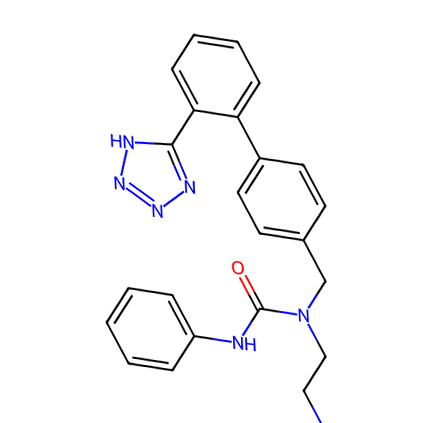 NCCN(Cc1ccc(-c2ccccc2-c2nnn[nH]2)cc1)C(=O)Nc1ccccc1